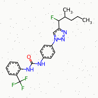 CCCC(C)C(F)c1cn(-c2ccc(NC(=O)Nc3ccccc3C(F)(F)F)cc2)nn1